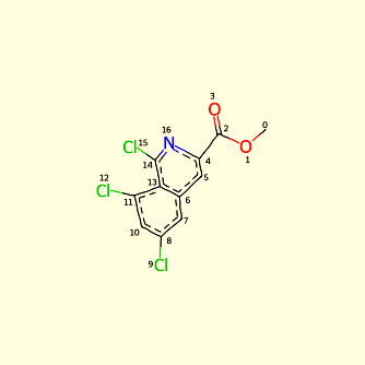 COC(=O)c1cc2cc(Cl)cc(Cl)c2c(Cl)n1